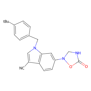 CC(C)(C)c1ccc(Cn2cc(C#N)c3ccc(N4CNC(=O)O4)cc32)cc1